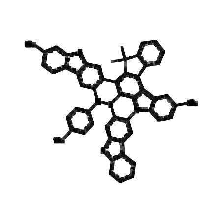 CC(C)(C)c1ccc(N2B3c4cc5sc6ccccc6c5cc4-n4c5ccc(C(C)(C)C)cc5c5c6c(c(c3c54)-c3cc4sc5cc(C(C)(C)C)ccc5c4cc32)C(C)(C)c2ccccc2-6)cc1